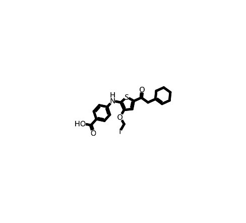 O=C(O)c1ccc(Nc2sc(C(=O)CC3=CCCCC3)cc2OCI)cc1